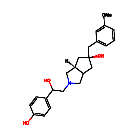 COc1cccc(C[C@]2(O)CC3CN(CC(O)c4ccc(O)cc4)C[C@H]3C2)c1